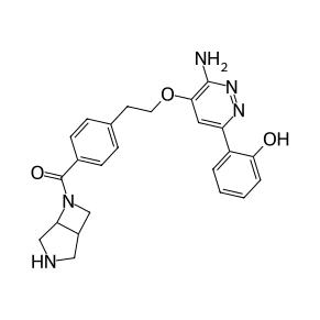 Nc1nnc(-c2ccccc2O)cc1OCCc1ccc(C(=O)N2CC3CNCC32)cc1